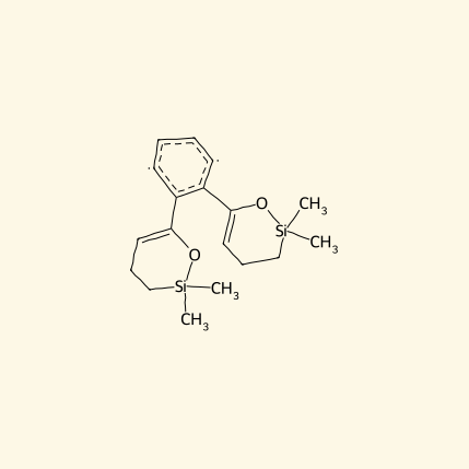 C[Si]1(C)CCC=C(c2[c]cc[c]c2C2=CCC[Si](C)(C)O2)O1